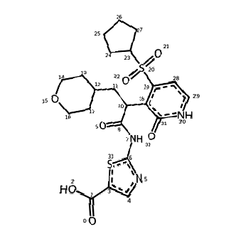 O=C(O)c1cnc(NC(=O)C(CC2CCOCC2)c2c(S(=O)(=O)C3CCCC3)cc[nH]c2=O)s1